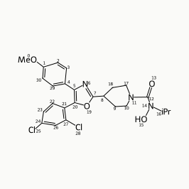 COc1ccc(-c2nc(C3CCN(C(=O)N(O)C(C)C)CC3)oc2-c2ccc(Cl)cc2Cl)cc1